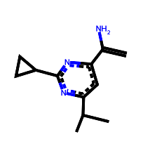 C=C(N)c1cc(C(C)C)nc(C2CC2)n1